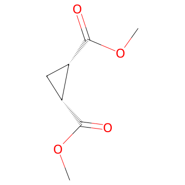 COC(=O)[C@H]1C[C@H]1C(=O)OC